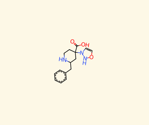 O=C(O)C1(N2C=CON2)CCNC(Cc2ccccc2)C1